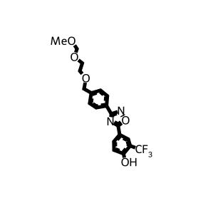 COCOCCOCc1ccc(-c2noc(-c3ccc(O)c(C(F)(F)F)c3)n2)cc1